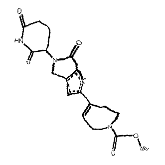 CC(C)(C)OC(=O)N1CC=C(c2cc3c(s2)C(=O)N(C2CCC(=O)NC2=O)C3)CC1